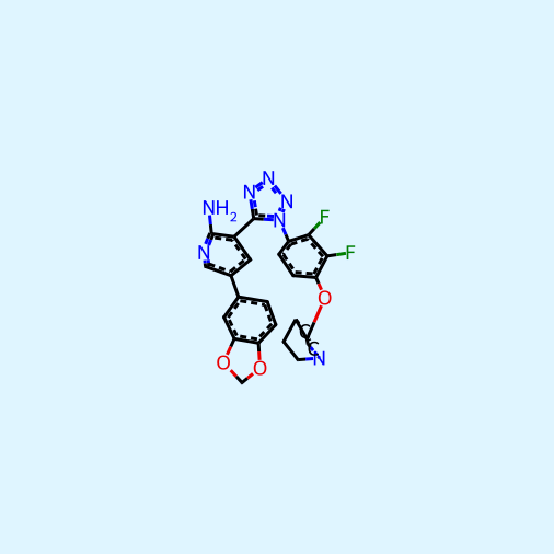 Nc1ncc(-c2ccc3c(c2)OCO3)cc1-c1nnnn1-c1ccc(OC2CN3CCC2CC3)c(F)c1F